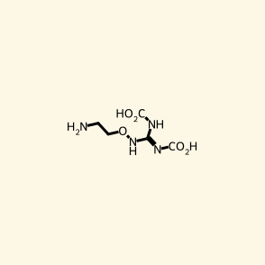 NCCONC(=NC(=O)O)NC(=O)O